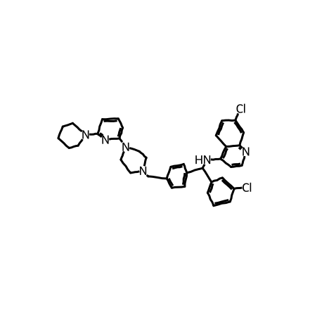 Clc1cccc(C(Nc2ccnc3cc(Cl)ccc23)c2ccc(CN3CCN(c4cccc(N5CCCCC5)n4)CC3)cc2)c1